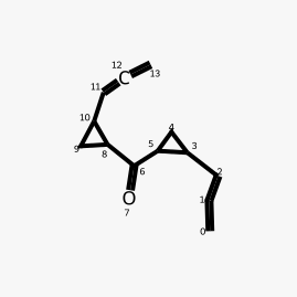 C=C=CC1CC1C(=O)C1CC1C=C=C